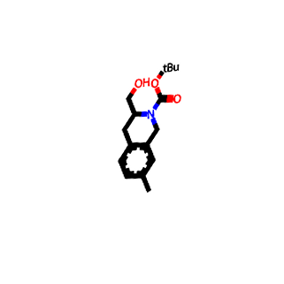 Cc1ccc2c(c1)CN(C(=O)OC(C)(C)C)C(CO)C2